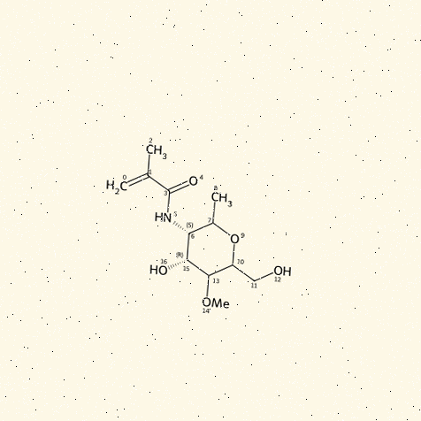 C=C(C)C(=O)N[C@@H]1C(C)OC(CO)C(OC)[C@@H]1O